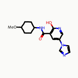 COC1CCC(NC(=O)c2cc(-n3ccnc3)cnc2O)CC1